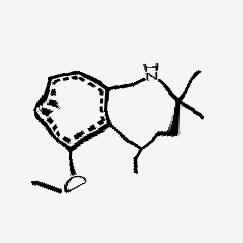 COc1cccc2c1C(C)CC(C)(C)N2